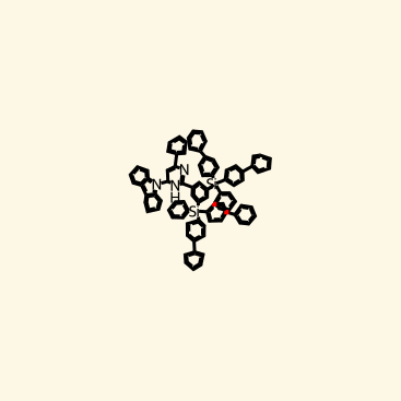 C1=C(c2ccccc2)N=C(c2cc([Si](c3ccccc3)(c3ccc(-c4ccccc4)cc3)c3ccc(-c4ccccc4)cc3)cc([Si](c3ccccc3)(c3ccc(-c4ccccc4)cc3)c3ccc(-c4ccccc4)cc3)c2)NC1n1c2ccccc2c2ccccc21